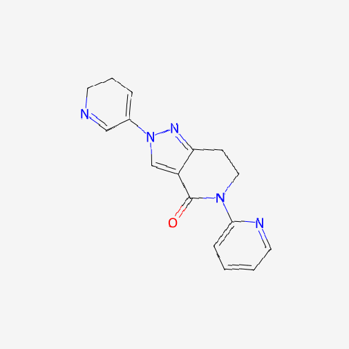 O=C1c2cn(C3=CCCN=C3)nc2CCN1c1ccccn1